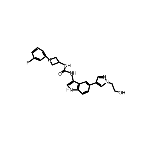 O=C(Nc1c[nH]c2ccc(-c3cnn(CCO)c3)cc12)NC1CN(c2cccc(F)c2)C1